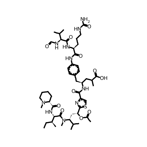 CC[C@H](C)[C@H](NC(=O)[C@H]1CCCCN1C)C(=O)N(C)[C@H](C[C@@H](OC(C)=O)c1nc(C(=O)N[C@@H](Cc2ccc(NC(=O)[C@H](CCCNC(N)=O)NC(=O)[C@@H](NC=O)C(C)C)cc2)CC(C)C(=O)O)cs1)C(C)C